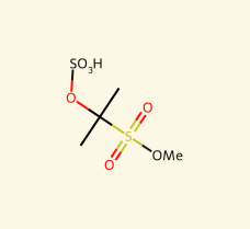 COS(=O)(=O)C(C)(C)OS(=O)(=O)O